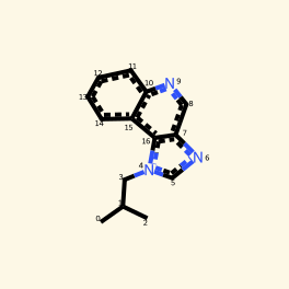 CC(C)Cn1cnc2cnc3ccccc3c21